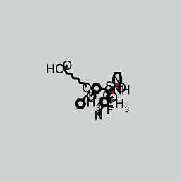 CC(C)(C)OC(=O)NC1CC2CCC(C1)N2C(=O)c1cc(-c2ccc(C#N)c(F)c2)c(-c2ccc(OCCCCCCC(=O)O)c(OCc3ccccc3)c2)s1